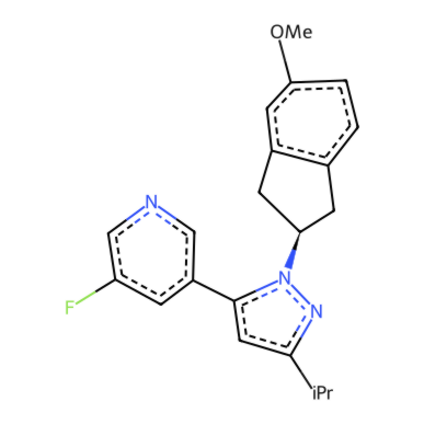 COc1ccc2c(c1)C[C@H](n1nc(C(C)C)cc1-c1cncc(F)c1)C2